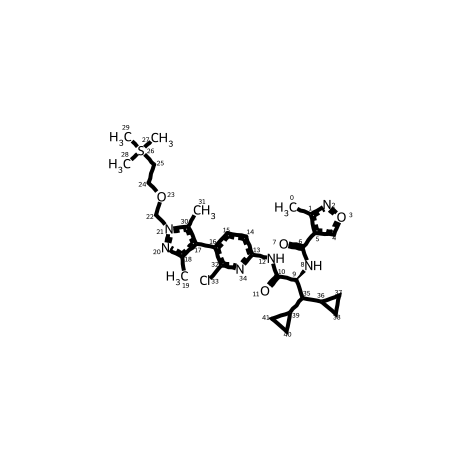 Cc1nocc1C(=O)N[C@H](C(=O)Nc1ccc(-c2c(C)nn(COCCS(C)(C)C)c2C)c(Cl)n1)C(C1CC1)C1CC1